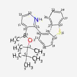 CB(OC(C)(C)C(C)(C)C)c1cccnc1-c1cccc2sc3ccccc3c12